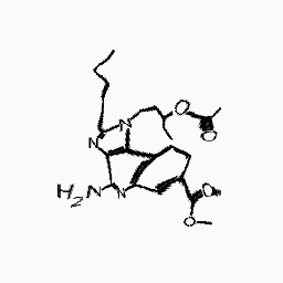 CCCCc1nc2c(N)nc3cc(C(=O)OC)ccc3c2n1CC(C)OC(C)=O